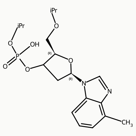 Cc1cccc2c1ncn2[C@H]1CC(OP(=O)(O)OC(C)C)[C@@H](COC(C)C)O1